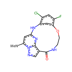 CNc1cc2nc3c(cnn13)C(=O)NCCOc1cc(c(Cl)cc1F)N2